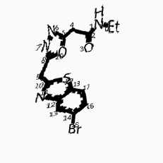 CCNC(=O)Cc1nnc(Cc2nc3cc(Br)ccc3s2)o1